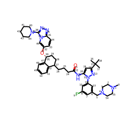 CN1CCN(Cc2cc(F)cc(-n3nc(C(C)(C)C)cc3NC(=O)CCCC3CC[C@@H](Oc4ccc5nnc(N6CCCCC6)n5c4)c4ccccc43)c2)CC1